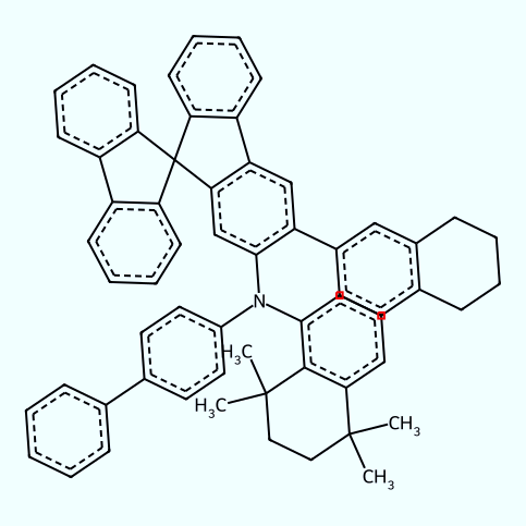 CC1(C)CCC(C)(C)c2c(N(c3ccc(-c4ccccc4)cc3)c3cc4c(cc3-c3ccc5c(c3)CCCC5)-c3ccccc3C43c4ccccc4-c4ccccc43)cccc21